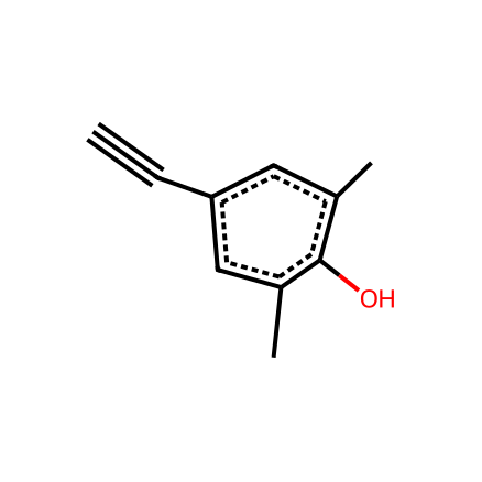 C#Cc1cc(C)c(O)c(C)c1